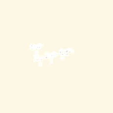 [Cd+2].[Se-2].[Se-2].[Zn+2]